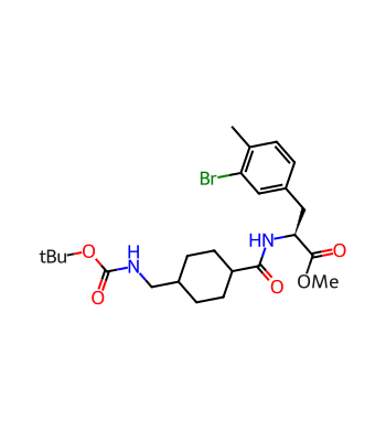 COC(=O)[C@H](Cc1ccc(C)c(Br)c1)NC(=O)C1CCC(CNC(=O)OC(C)(C)C)CC1